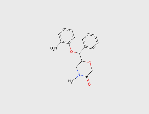 CN1CC(C(Oc2ccccc2[N+](=O)[O-])c2ccccc2)OCC1=O